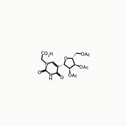 CC(=O)OC[C@H]1O[C@@H](c2cn(CC(=O)O)c(=O)[nH]c2=O)[C@H](OC(C)=O)[C@@H]1OC(C)=O